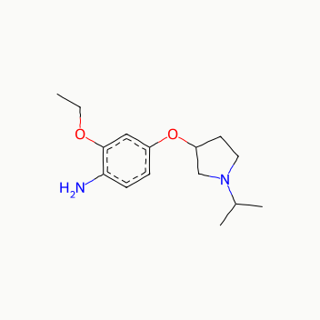 CCOc1cc(OC2CCN(C(C)C)C2)ccc1N